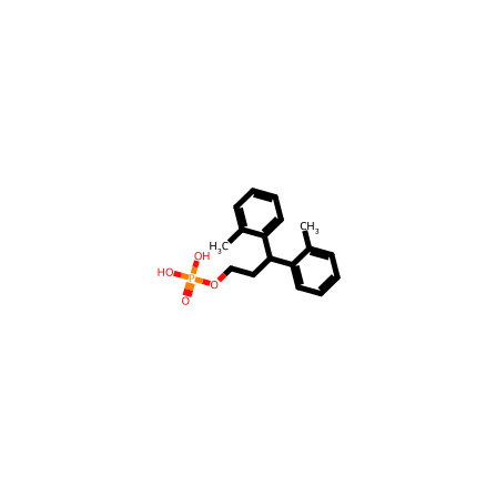 Cc1ccccc1C(CCOP(=O)(O)O)c1ccccc1C